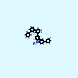 CCn1c2ccc(-c3ccccc3)cc2c2cc(-c3cccc4c3sc3c(-c5ccccc5)cccc34)ccc21